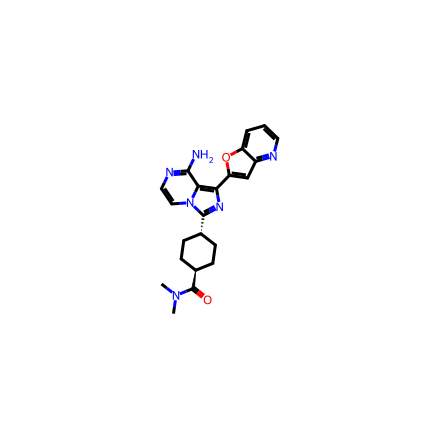 CN(C)C(=O)[C@H]1CC[C@H](c2nc(-c3cc4ncccc4o3)c3c(N)nccn32)CC1